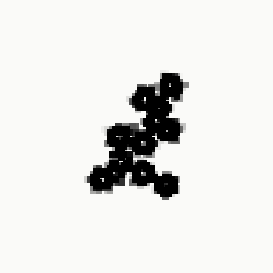 C1=CCC(C2=CCC(c3nc(C4=CC=CC5Oc6c(C7Cc8c(cc(-c9ccccc9)c9ccccc89)-c8ccccc87)cccc6C45)nc4c3sc3ccccc34)C=C2)C=C1